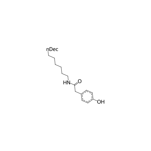 CCCCCCCCCCCCCCCCNC(=O)Cc1ccc(O)cc1